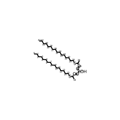 CCCCCCCCCCCCCCCCSC(C)OOP(O)OOC(C)SCCCCCCCCCCCCCCCC